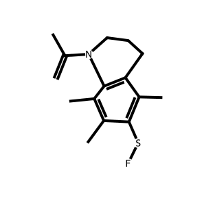 C=C(C)N1CCCc2c(C)c(SF)c(C)c(C)c21